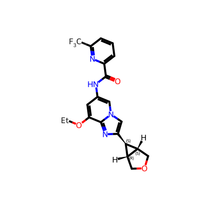 CCOc1cc(NC(=O)c2cccc(C(F)(F)F)n2)cn2cc([C@H]3[C@@H]4COC[C@@H]43)nc12